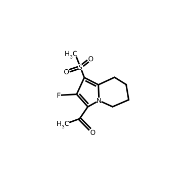 CC(=O)c1c(F)c(S(C)(=O)=O)c2n1CCCC2